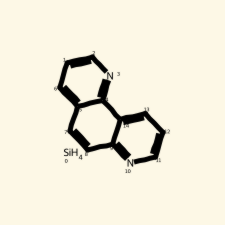 [SiH4].c1cnc2c(c1)ccc1ncccc12